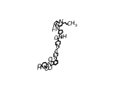 CCCc1cc(N[C@@H]2CC[C@@H](NC(=O)C3CCN(CCN4CCN(c5cccc6c5C(=O)N(C5CCC(=O)NC5=O)C6=O)CC4)CC3)C2)n2nccc2n1